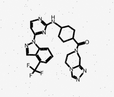 O=C(C1CCC(Nc2nccc(-n3ncc4c(C(F)(F)F)cccc43)n2)CC1)N1CCn2cnnc2C1